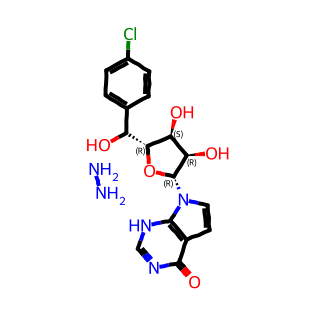 NN.O=c1nc[nH]c2c1ccn2[C@@H]1O[C@H](C(O)c2ccc(Cl)cc2)[C@@H](O)[C@H]1O